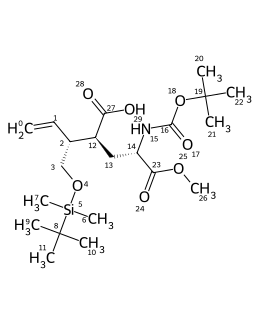 C=C[C@@H](CO[Si](C)(C)C(C)(C)C)[C@H](C[C@H](NC(=O)OC(C)(C)C)C(=O)OC)C(=O)O